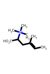 C/C=C(\C)CC(C(=O)O)[N+](C)(C)C